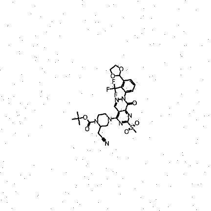 CC(C)(C)OC(=O)N1CCN(c2nc(S(C)(=O)=O)nc3c(=O)n(-c4cccc(C5OCCO5)c4C(F)(F)F)ncc23)CC1CC#N